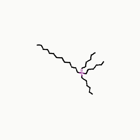 CCCCCCCCCCCCC[PH](CCCCCC)(CCCCCC)CCCCCC